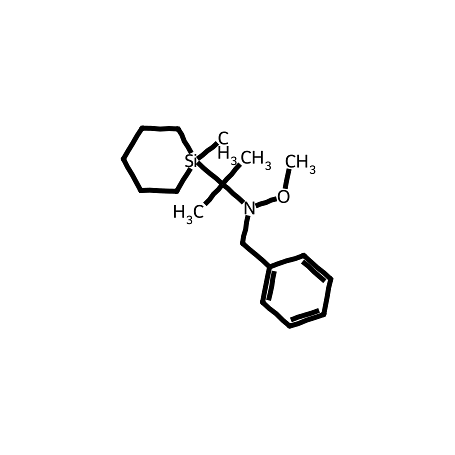 CON(Cc1ccccc1)C(C)(C)[Si]1(C)CCCCC1